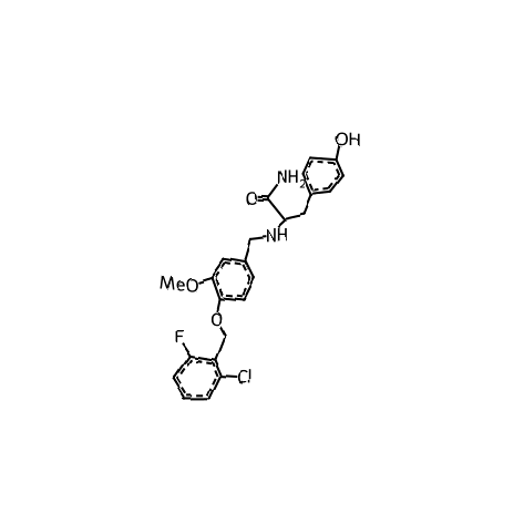 COc1cc(CNC(Cc2ccc(O)cc2)C(N)=O)ccc1OCc1c(F)cccc1Cl